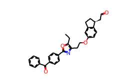 CCc1oc(-c2ccc(C(=O)c3ccccc3)cc2)nc1CCOc1ccc2c(c1)CC[C@H]2CC=O